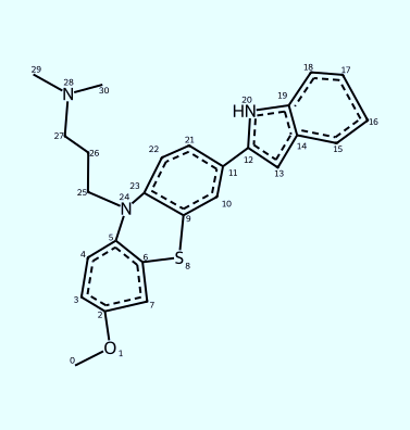 COc1ccc2c(c1)Sc1cc(-c3cc4ccccc4[nH]3)ccc1N2CCCN(C)C